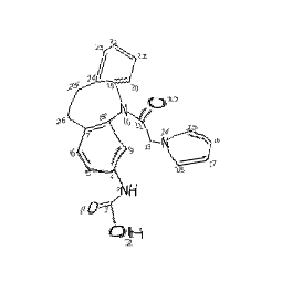 O=C(O)Nc1ccc2c(c1)N(C(=O)Cn1cccc1)c1ccccc1CC2